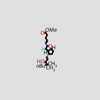 CCCCC(C)(C)[C@H](O)/C=C/[C@H]1CC[C@H]2O[C@H](/C=C/CCC(=O)OC)C(F)[C@H]12